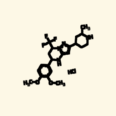 COc1ccc(C2CC(C(F)(F)F)n3nc(C4CCNC(C)C4)cc3N2)cc1OC.Cl